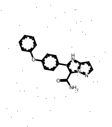 NC(=O)c1c(-c2ccc(Oc3ccccc3)cc2)[nH]c2ccnn12